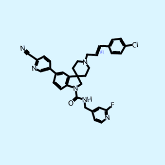 N#Cc1ccc(-c2ccc3c(c2)C2(CCN(C/C=C/c4ccc(Cl)cc4)CC2)CN3C(=O)NCc2ccnc(F)c2)cn1